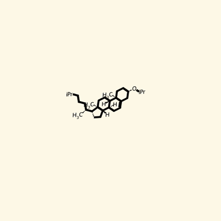 CC(C)CCC[C@@H](C)[C@H]1CC[C@H]2[C@@H]3CC=C4C[C@@H](OC(C)C)CC[C@]4(C)[C@H]3CC[C@]12C